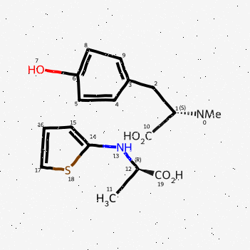 CN[C@@H](Cc1ccc(O)cc1)C(=O)O.C[C@@H](Nc1cccs1)C(=O)O